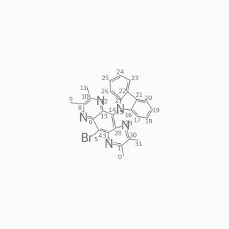 Cc1nc2c(Br)c3nc(C)c(C)nc3c(-n3c4ccccc4c4ccccc43)c2nc1C